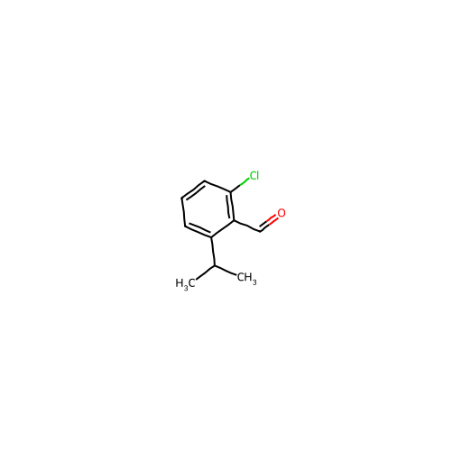 CC(C)c1cccc(Cl)c1C=O